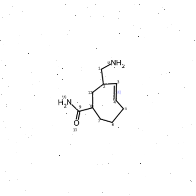 NCC1/C=C/CCCC(C(N)=O)C1